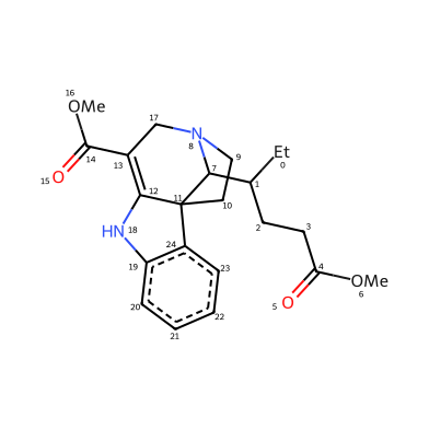 CCC(CCC(=O)OC)C1N2CCC13C(=C(C(=O)OC)C2)Nc1ccccc13